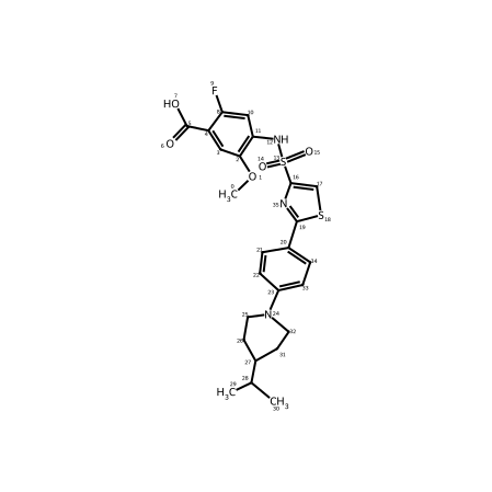 COc1cc(C(=O)O)c(F)cc1NS(=O)(=O)c1csc(-c2ccc(N3CCC(C(C)C)CC3)cc2)n1